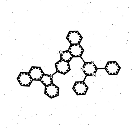 c1ccc(-c2nc(-c3ccccc3)nc(-c3cc4ccccc4c4oc5cc(-n6c7ccccc7c7c8ccccc8ccc76)ccc5c34)n2)cc1